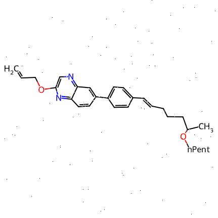 C=CCOc1cnc2cc(-c3ccc(C=CCCCC(C)OCCCCC)cc3)ccc2n1